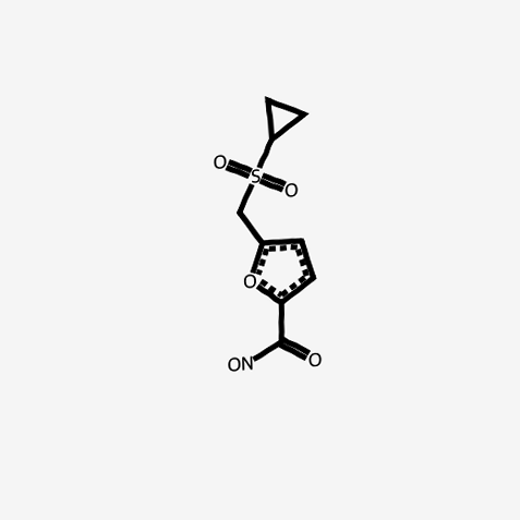 O=NC(=O)c1ccc(CS(=O)(=O)C2CC2)o1